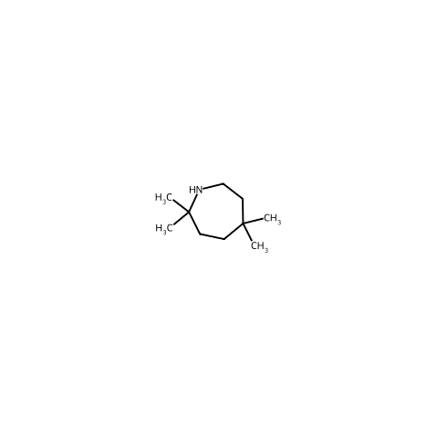 CC1(C)CCNC(C)(C)CC1